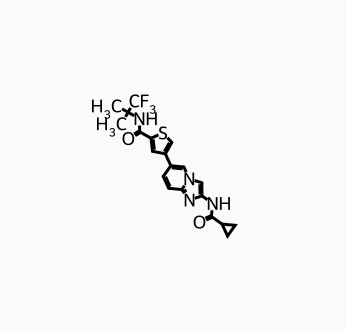 CC(C)(NC(=O)c1cc(-c2ccc3nc(NC(=O)C4CC4)cn3c2)cs1)C(F)(F)F